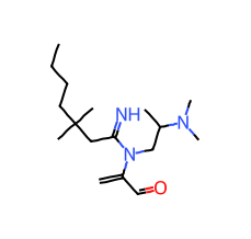 C=C(C=O)N(CC(C)N(C)C)C(=N)CC(C)(C)CCCC